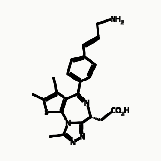 Cc1sc2c(c1C)C(c1ccc(C=CCN)cc1)=N[C@H](CC(=O)O)c1nnc(C)n1-2